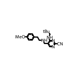 COc1ccc(CCNCc2cnc(C#N)nc2NCC(C)(C)C)cc1